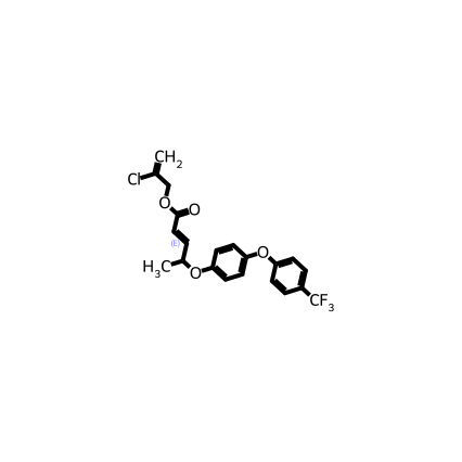 C=C(Cl)COC(=O)/C=C/C(C)Oc1ccc(Oc2ccc(C(F)(F)F)cc2)cc1